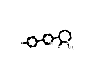 CN1CCCCC(c2ccc(-c3ccc(F)cc3)cn2)C1=O